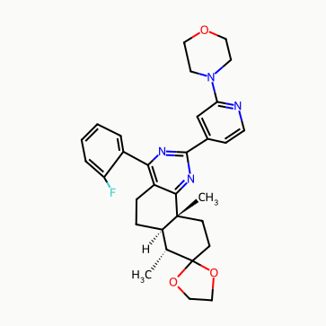 C[C@@H]1[C@H]2CCc3c(-c4ccccc4F)nc(-c4ccnc(N5CCOCC5)c4)nc3[C@]2(C)CCC12OCCO2